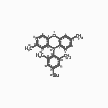 Cc1cnc2c(c1)Oc1cnc(C)cc1N2c1c(C)cc(C(C)(C)C)cc1C